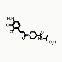 CC(NC(=O)C1CCN(C(=O)/C=C/c2ccc(N)c(Cl)c2Cl)CC1)C(=O)O